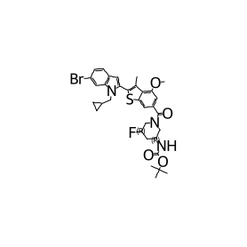 COc1cc(C(=O)N2C[C@H](F)C[C@@H](NC(=O)OC(C)(C)C)C2)cc2sc(-c3cc4ccc(Br)cc4n3CC3CC3)c(C)c12